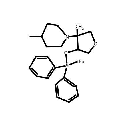 CC1(N2CCC(I)CC2)COCC1O[Si](c1ccccc1)(c1ccccc1)C(C)(C)C